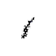 CCO/N=C1\CC1CCNC(=O)c1ccc(-c2noc(C(F)(F)F)n2)cc1